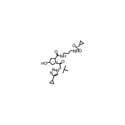 CC(C)(C)[C@@H](C(=O)N1CC(O)CC1C(=O)NCCCNS(=O)(=O)C1CC1)n1cc(C2CC2)nn1